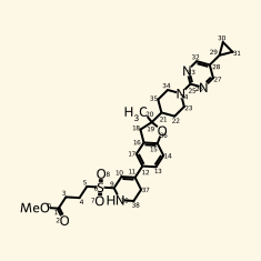 COC(=O)CCCS(=O)(=O)C1C=C(c2ccc3c(c2)CC(C)(C2CCN(c4ncc(C5CC5)cn4)CC2)O3)CCN1